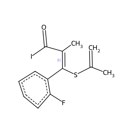 C=C(C)S/C(=C(\C)C(=O)I)c1ccccc1F